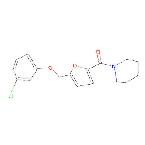 O=C(c1ccc(COc2cccc(Cl)c2)o1)N1CCCCC1